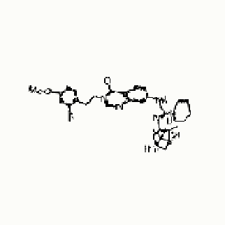 COc1ccc(CCn2cnc3cc(NC(=NC4C[C@@H]5C[C@H]([C@@H]4C)C5(C)C)N4CCCCC4)ccc3c2=O)c(F)c1